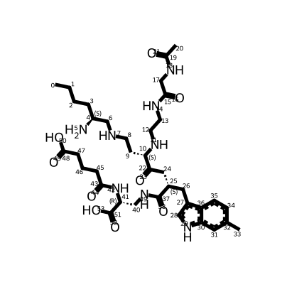 CCCC[C@H](N)CNCC[C@H](NCCNC(=O)CNC(C)=O)C(=O)C[C@H](Cc1c[nH]c2cc(C)ccc12)C(=O)NC[C@@H](NC(=O)CCCC(=O)O)C(=O)O